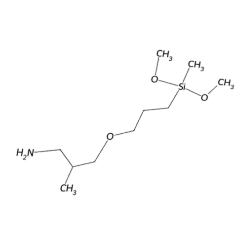 CO[Si](C)(CCCOCC(C)CN)OC